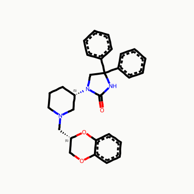 O=C1NC(c2ccccc2)(c2ccccc2)CN1[C@H]1CCCN(C[C@H]2COc3ccccc3O2)C1